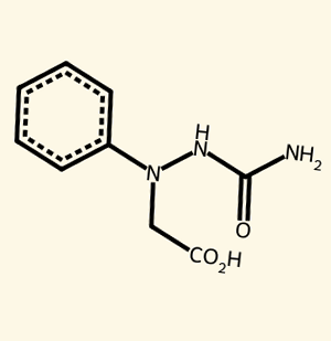 NC(=O)NN(CC(=O)O)c1ccccc1